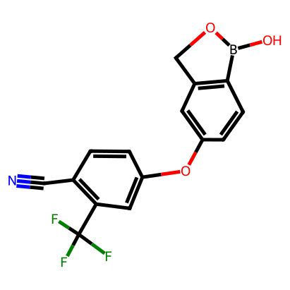 N#Cc1ccc(Oc2ccc3c(c2)COB3O)cc1C(F)(F)F